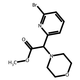 COC(=O)C(c1cccc(Br)n1)N1CCOCC1